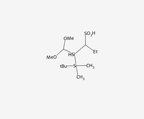 CCC([SiH](C(OC)OC)[Si](C)(C)C(C)(C)C)S(=O)(=O)O